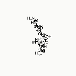 C[C@@H]1CCCN1C(=O)[C@H](CCCNC(=N)N)NC(=O)CNC(=O)[C@H](CO)NC(=O)CNC(=O)CNC(=O)CNC(=O)CNC(=O)CN